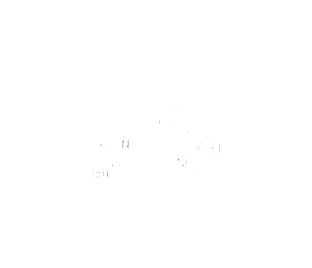 CC(C)(C)OC(=O)N1CCC(Oc2cc([N+](=O)[O-])c(C(=O)O)cc2Cl)CC1